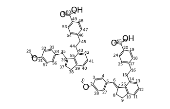 COc1ccc(C=C2CCc3cccc(CCc4ccc(C(=O)O)cc4)c32)cc1.COc1ccc(CC2=CCc3cccc(CCc4ccc(C(=O)O)cc4)c32)cc1